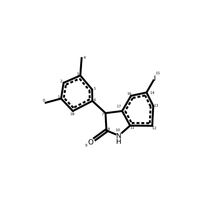 Cc1cc(C)cc(C2C(=O)Nc3ccc(I)cc32)c1